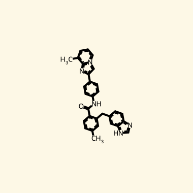 Cc1ccc(C(=O)Nc2ccc(-c3cn4cccc(C)c4n3)cc2)c(Cc2ccc3nc[nH]c3c2)c1